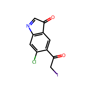 O=C(CI)c1cc2c(cc1Cl)N=CC2=O